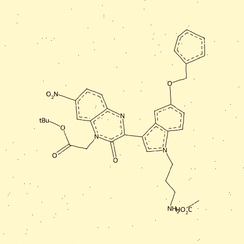 CC(=O)O.CC(C)(C)OC(=O)Cn1c(=O)c(-c2cn(CCCN)c3ccc(OCc4ccccc4)cc23)nc2ccc([N+](=O)[O-])cc21